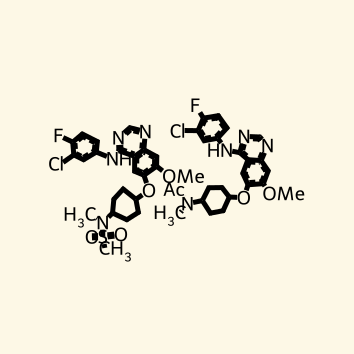 COc1cc2ncnc(Nc3ccc(F)c(Cl)c3)c2cc1OC1CCC(N(C)C(C)=O)CC1.COc1cc2ncnc(Nc3ccc(F)c(Cl)c3)c2cc1OC1CCC(N(C)S(C)(=O)=O)CC1